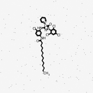 CCCCCCCCCCCCCC(=O)Nc1ccc(Cl)c(Nc2nn(-c3c(Cl)cc(Cl)cc3Cl)c(=O)[c-]2-[n+]2ccccc2)c1